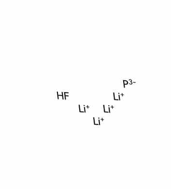 F.[Li+].[Li+].[Li+].[Li+].[P-3]